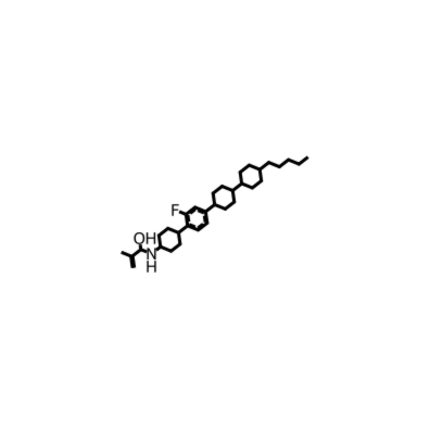 C=C(C)C(O)NC1CCC(c2ccc(C3CCC(C4CCC(CCCCC)CC4)CC3)cc2F)CC1